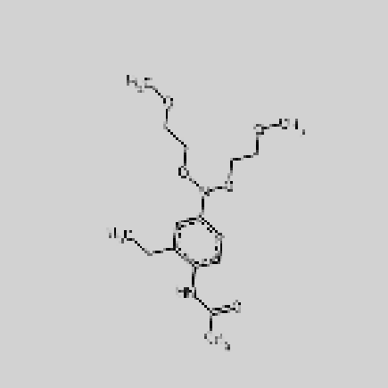 CCc1cc(N(OCCOC)OCCOC)ccc1NC(C)=O